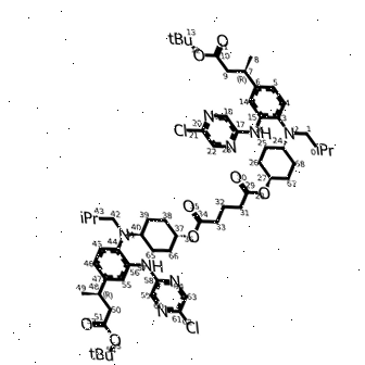 CC(C)CN(c1ccc([C@H](C)CC(=O)OC(C)(C)C)cc1Nc1cnc(Cl)cn1)[C@H]1CC[C@H](OC(=O)CCCC(=O)O[C@H]2CC[C@H](N(CC(C)C)c3ccc([C@H](C)CC(=O)OC(C)(C)C)cc3Nc3cnc(Cl)cn3)CC2)CC1